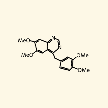 COc1ccc(Cc2ncnc3cc(OC)c(OC)cc23)cc1OC